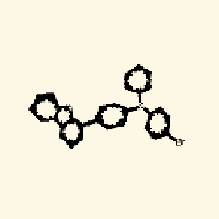 Brc1ccc(N(c2ccccc2)c2ccc(-c3cccc4c3sc3ccccc34)cc2)cc1